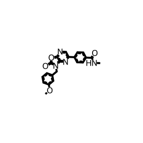 CNC(=O)c1ccc(-c2cnc3oc(=O)n(Cc4cccc(OC)c4)c3n2)cc1